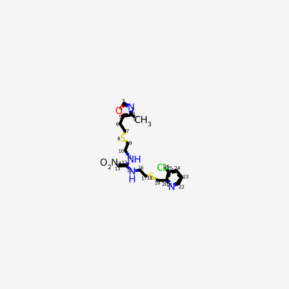 Cc1ncoc1CCSCCNC(=C[N+](=O)[O-])NCCSCc1ncccc1Cl